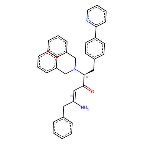 N/C(=C\C(=O)[C@H](Cc1ccc(-c2ccccn2)cc1)N(Cc1ccccc1)Cc1ccccc1)Cc1ccccc1